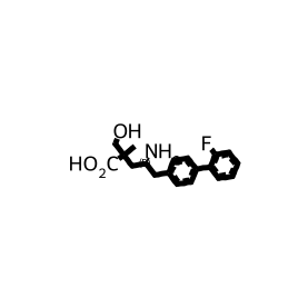 CC(CO)(C[C@H](N)Cc1ccc(-c2ccccc2F)cc1)C(=O)O